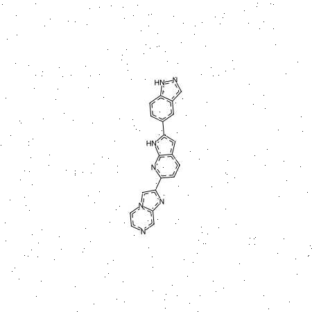 c1cn2cc(-c3ccc4cc(-c5ccc6[nH]ncc6c5)[nH]c4n3)nc2cn1